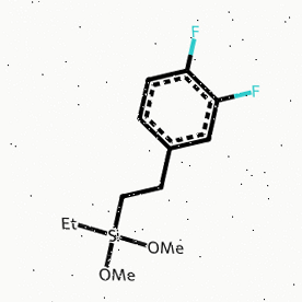 CC[Si](CCc1ccc(F)c(F)c1)(OC)OC